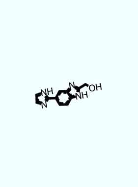 OCc1nc2cc(-c3ncc[nH]3)ccc2[nH]1